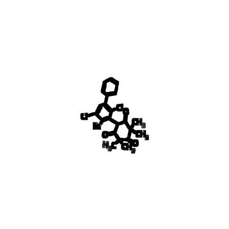 CCc1c(Cl)cc(-c2ccccc2)c(Cl)c1C1C(=O)C(C)(C)C(=O)C(C)(C)C1=O